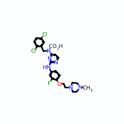 CN1CCN(CCOc2ccc(Nc3nccc(N(Cc4cc(Cl)ccc4Cl)C(=O)O)n3)cc2F)CC1